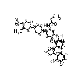 C=CC(=O)Nc1cc(Nc2cc(N3OCCC3c3c(F)ccc(F)c3Cl)ncn2)c(OC)cc1N1CCC(N2CCN(C3CC3)C(C)C2)CC1